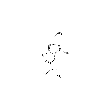 BCc1cc(C)c(OC(=O)C(C)NC)c(C)c1